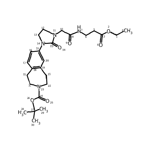 CCOC(=O)CCNC(=O)CN1CCN(c2ccc3c(c2)CCN(C(=O)OC(C)(C)C)CC3)C1=O